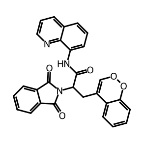 O=C(Nc1cccc2cccnc12)C(CC1=COOc2ccccc21)N1C(=O)c2ccccc2C1=O